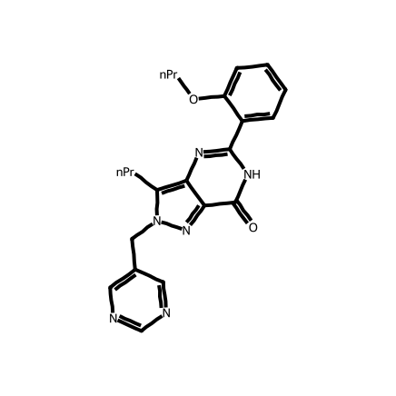 CCCOc1ccccc1-c1nc2c(CCC)n(Cc3cncnc3)nc2c(=O)[nH]1